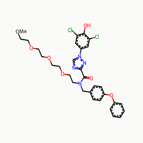 COCCOCCOCCOCCN(Cc1ccc(Oc2ccccc2)cc1)C(=O)c1ncn(-c2cc(Cl)c(O)c(Cl)c2)n1